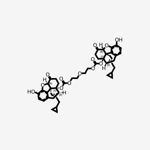 O=C(OCCOCCOC(=O)O[C@@]12CCC(=O)[C@@H]3Oc4c(O)ccc5c4[C@@]31CCN(CC1CC1)[C@@H]2C5)O[C@@]12CCC(=O)[C@@H]3Oc4c(O)ccc5c4[C@@]31CCN(CC1CC1)[C@@H]2C5